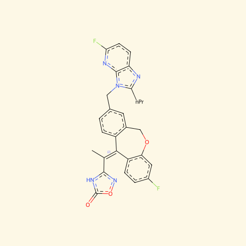 CCCc1nc2ccc(F)nc2n1Cc1ccc2c(c1)COc1cc(F)ccc1/C2=C(/C)c1noc(=O)[nH]1